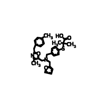 Cc1ccc(Cc2nc(C)c(CN(Cc3ccc(SC(C)(C)C(=O)O)cc3)Cc3ccco3)o2)cc1